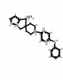 N[C@@H]1c2ccnn2CC12CCN(c1cnc(Sc3ccccc3)cn1)CC2